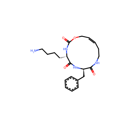 NCCCC[C@@H]1NC(=O)OCC=CCCNC(=O)[C@@H](Cc2ccccc2)NC1=O